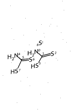 NC(=S)S.NC(=S)S.[S]